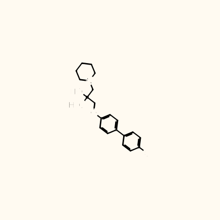 CC(O)(COc1ccc(-c2ccc(Cl)cc2)cc1)CN1CCCCC1